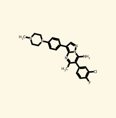 Cc1nc2c(-c3ccc(N4CCN(C)CC4)cc3)cnn2c(N)c1-c1ccc(F)c(Cl)c1